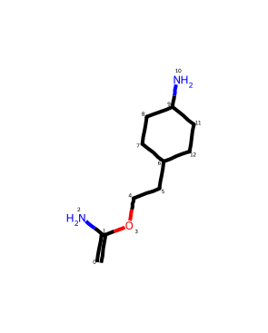 C=C(N)OCCC1CCC(N)CC1